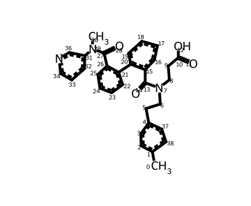 Cc1ccc(CCN(CCC(=O)O)C(=O)c2ccccc2-c2ccccc2C(=O)N(C)c2cccnc2)cc1